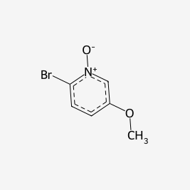 COc1ccc(Br)[n+]([O-])c1